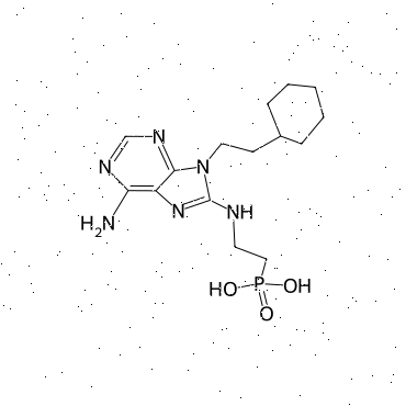 Nc1ncnc2c1nc(NCCP(=O)(O)O)n2CCC1CCCCC1